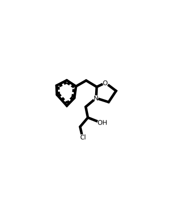 OC(CCl)CN1CCOC1Cc1ccccc1